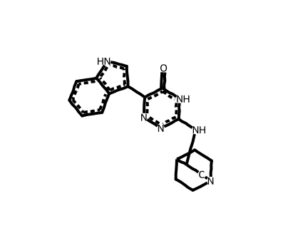 O=c1[nH]c(NC2CN3CCC2CC3)nnc1-c1c[nH]c2ccccc12